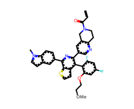 C=CC(=O)N1CCc2ncc(-c3nc(-c4ccc5c(ccn5C)c4)c4sccc4c3-c3c(F)cc(F)cc3OCCOC)cc2C1